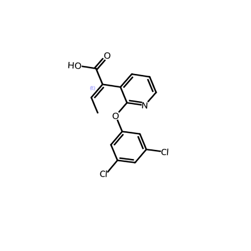 C/C=C(/C(=O)O)c1cccnc1Oc1cc(Cl)cc(Cl)c1